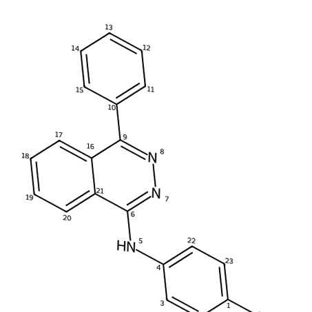 Oc1ccc(Nc2nnc(-c3ccccc3)c3ccccc23)cc1